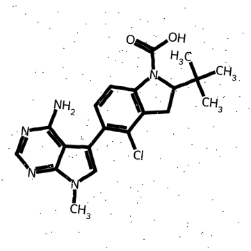 Cn1cc(-c2ccc3c(c2Cl)CC(C(C)(C)C)N3C(=O)O)c2c(N)ncnc21